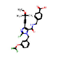 COC(C)(C)C#Cc1nc(Cl)n(Cc2cccc(OC(F)F)c2)c1C(=O)NCc1ccc(C(=O)O)cc1